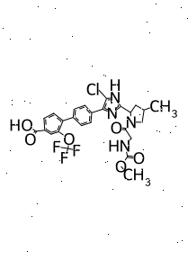 COC(=O)NCC(=O)N1CC(C)CC1c1nc(-c2ccc(-c3ccc(C(=O)O)cc3OC(F)(F)F)cc2)c(Cl)[nH]1